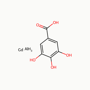 O=C(O)c1cc(O)c(O)c(O)c1.[AlH3].[Gd]